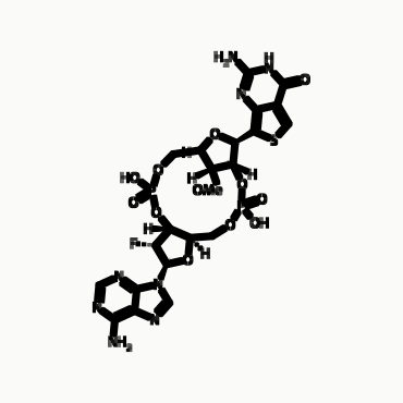 CO[C@H]1[C@H]2OP(=O)(O)OC[C@H]3O[C@@H](n4cnc5c(N)ncnc54)[C@H](F)[C@@H]3OP(=O)(O)OC[C@H]1O[C@H]2c1scc2c(=O)[nH]c(N)nc12